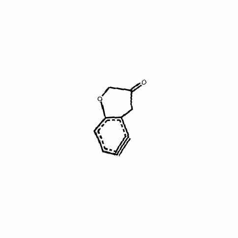 O=C1COc2ccc#cc2C1